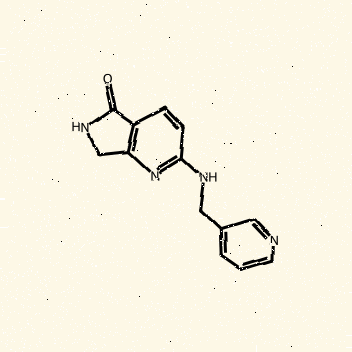 O=C1NCc2nc(NCc3cccnc3)ccc21